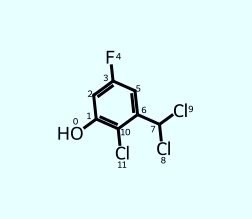 Oc1cc(F)cc(C(Cl)Cl)c1Cl